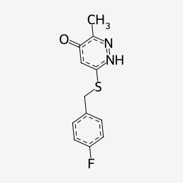 Cc1n[nH]c(SCc2ccc(F)cc2)cc1=O